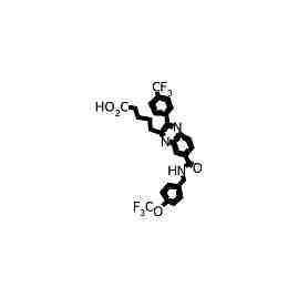 O=C(O)CCCCc1nc2cc(C(=O)NCc3ccc(OC(F)(F)F)cc3)ccc2nc1-c1ccc(C(F)(F)F)cc1